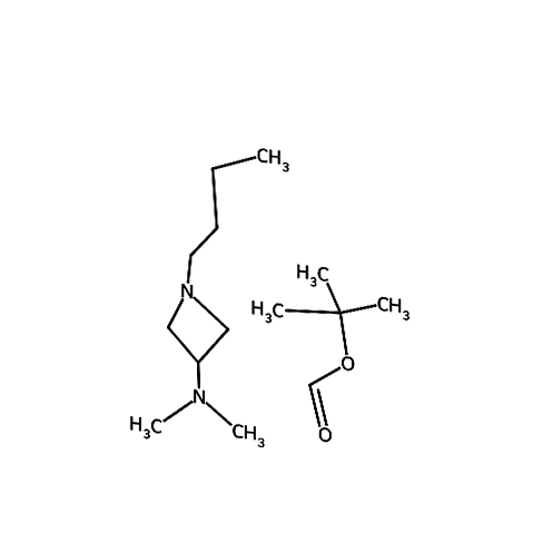 CC(C)(C)OC=O.CCCCN1CC(N(C)C)C1